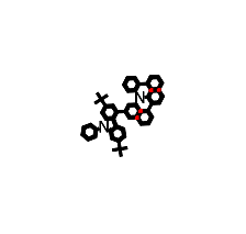 CC(C)(C)c1ccc2c3c(-c4cccc(N(c5ccccc5-c5ccccc5)c5ccccc5-c5ccccc5)c4)cc(C(C)(C)C)cc3n(-c3ccccc3)c2c1